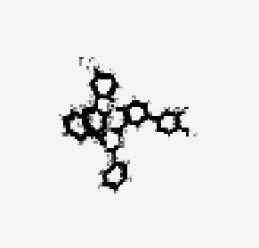 Fc1ccc(-c2ccc(-n3c4ccccc4c4cc(C(F)(F)F)ccc43)c(-c3nc(-c4ccccc4)nc(-c4ccccc4)n3)c2)cc1F